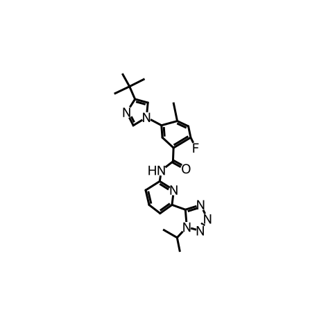 Cc1cc(F)c(C(=O)Nc2cccc(-c3nnnn3C(C)C)n2)cc1-n1cnc(C(C)(C)C)c1